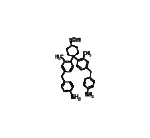 CCCCCCCCC1CCC(c2ccc(Cc3ccc(N)cc3)cc2C)(c2ccc(Cc3ccc(N)cc3)cc2C)CC1